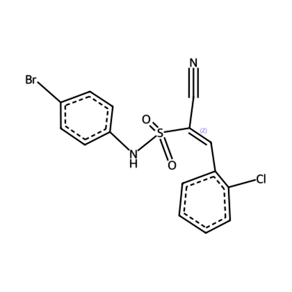 N#C/C(=C/c1ccccc1Cl)S(=O)(=O)Nc1ccc(Br)cc1